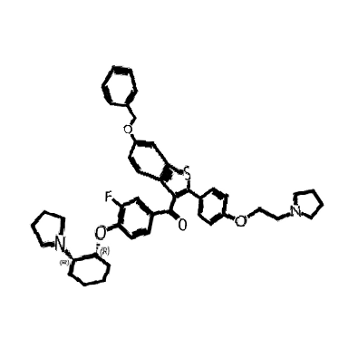 O=C(c1ccc(O[C@@H]2CCCC[C@H]2N2CCCC2)c(F)c1)c1c(-c2ccc(OCCN3CCCC3)cc2)sc2cc(OCc3ccccc3)ccc12